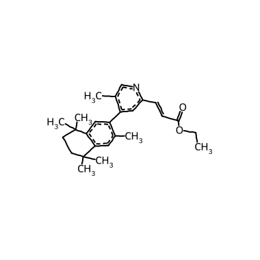 CCOC(=O)C=Cc1cc(-c2cc3c(cc2C)C(C)(C)CCC3(C)C)c(C)cn1